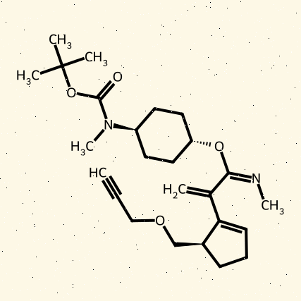 C#CCOC[C@@H]1CCC=C1C(=C)/C(=N\C)O[C@H]1CC[C@H](N(C)C(=O)OC(C)(C)C)CC1